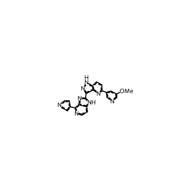 COc1cncc(-c2ccc3[nH]nc(-c4nc5c(-c6ccncc6)nccc5[nH]4)c3n2)c1